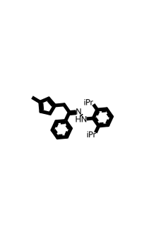 CC1=CCC(CC(=NNc2c(C(C)C)cccc2C(C)C)c2ccccc2)=C1